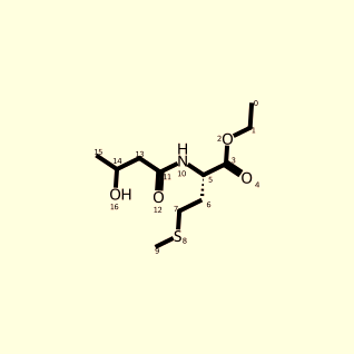 CCOC(=O)[C@H](CCSC)NC(=O)CC(C)O